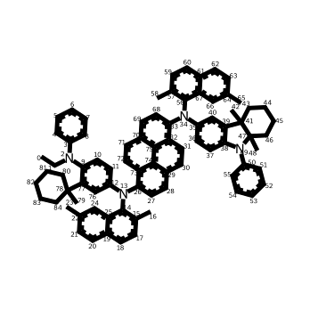 CCN(c1ccccc1)c1ccc(N(c2c(C)ccc3ccc(C)cc23)c2ccc3ccc4c(N(c5ccc6c(c5)C5(C)CCCCC5(C)N6c5ccccc5)c5c(C)ccc6ccc(C)cc56)ccc5ccc2c3c54)cc1C1(C)CCCCC1